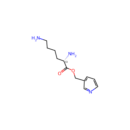 NCCCC[C@H](N)C(=O)OCc1cccnc1